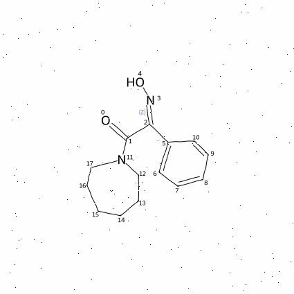 O=C(/C(=N\O)c1ccccc1)N1CCCCCC1